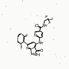 O=C(NCC(F)(F)F)c1ccc(Nc2cc(-c3c(F)cccc3F)nc3c2C(=O)NC3)nc1